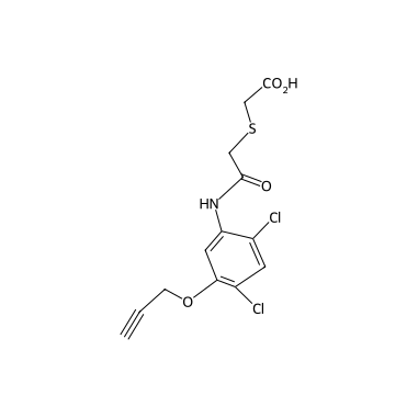 C#CCOc1cc(NC(=O)CSCC(=O)O)c(Cl)cc1Cl